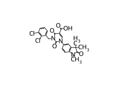 CN1C(=O)C(C)(C)c2cc(-n3cc(C(=O)O)c(=O)n(Cc4cccc(Cl)c4Cl)c3=O)ccc21